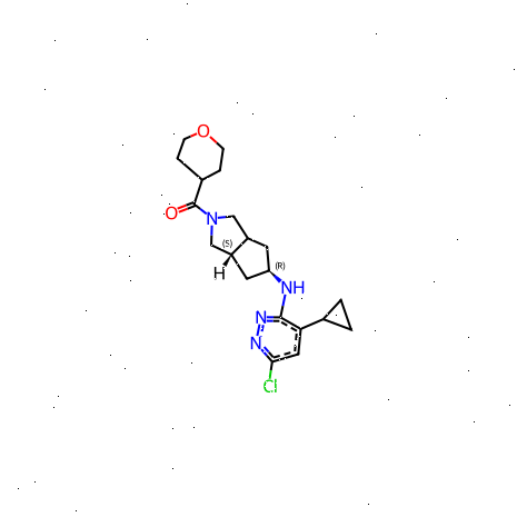 O=C(C1CCOCC1)N1CC2C[C@@H](Nc3nnc(Cl)cc3C3CC3)C[C@@H]2C1